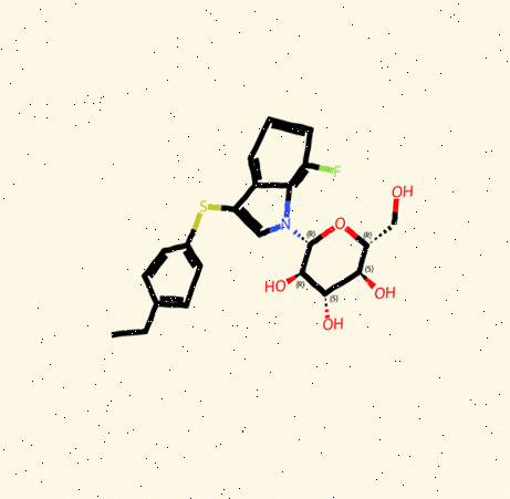 CCc1ccc(Sc2cn([C@@H]3O[C@H](CO)[C@@H](O)[C@H](O)[C@H]3O)c3c(F)cccc23)cc1